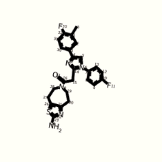 Cc1cc(-c2cn(-c3ccc(F)cc3)c(CC(=O)N3CCc4nc(N)sc4CC3)n2)ccc1F